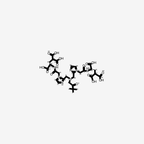 CC(C)(C)C(=O)CN(Cc1nccn1CC(=O)N[C@@H](CC(C(=O)O)C(=O)O)C(=O)O)Cc1nccn1CC(=O)N[C@@H](CC(C(=O)O)C(=O)O)C(=O)O